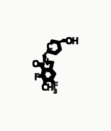 Cc1c(F)cc2c(c1F)C(=O)N(C[C@H]1CC[C@H](CO)CC1)C2